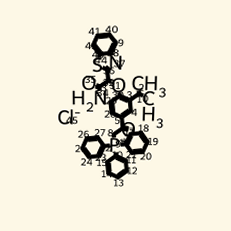 CC(C)c1cc(C(=O)C[P+](c2ccccc2)(c2ccccc2)c2ccccc2)ccc1OC(C(N)=O)c1nc2ccccc2s1.[Cl-]